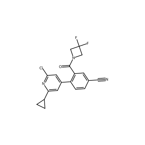 N#Cc1ccc(-c2cc(Cl)nc(C3CC3)c2)c(C(=O)N2CC(F)(F)C2)c1